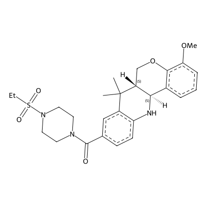 CCS(=O)(=O)N1CCN(C(=O)c2ccc3c(c2)C(C)(C)[C@@H]2COc4c(OC)cccc4[C@H]2N3)CC1